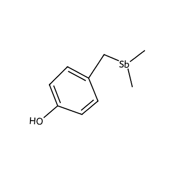 [CH3][Sb]([CH3])[CH2]c1ccc(O)cc1